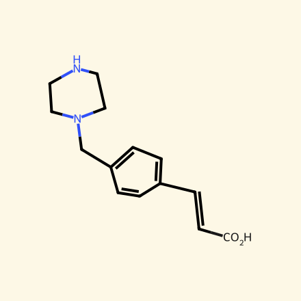 O=C(O)C=Cc1ccc(CN2CCNCC2)cc1